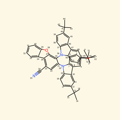 CC(C)(C)c1ccc2c(c1)c1cc(C(C)(C)C)ccc1n2-c1cc(C#N)c2c(oc3ccccc32)c1-n1c2ccc(C(C)(C)C)cc2c2cc(C(C)(C)C)ccc21